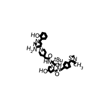 Cc1ncsc1-c1ccc(CNC(=O)[C@@H]2C[C@@H](O)CN2C(=O)[C@@H](NC(=O)CC2CCN(c3cc(-c4ccccc4O)nnc3N)CC2)C(C)(C)C)cc1